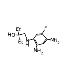 CCC(O)(CC)CNc1cc(F)c(N)cc1N